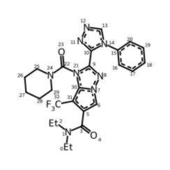 CCN(CC)C(=O)c1cn2nc(-c3nncn3-c3ccccc3)n(C(=O)N3CCCCC3)c2c1C(F)(F)F